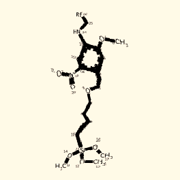 COc1cc(COCCCC[Si](OC)(OC)OC)c([N+](=O)[O-])cc1N[CH2][Rf]